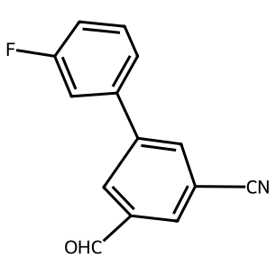 N#Cc1cc(C=O)cc(-c2cccc(F)c2)c1